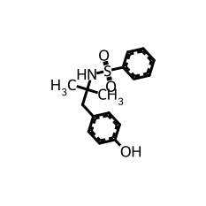 CC(C)(Cc1ccc(O)cc1)NS(=O)(=O)c1ccccc1